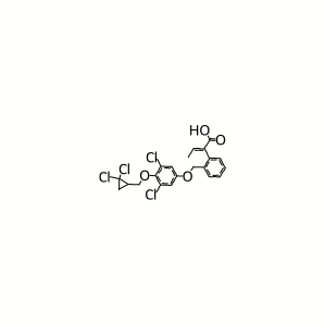 C/C=C(/C(=O)O)c1ccccc1COc1cc(Cl)c(OCC2CC2(Cl)Cl)c(Cl)c1